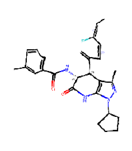 C=C(/C=C\C(F)=C/C)[C@H]1c2c(C)nn(C3CCCC3)c2NC(=O)[C@@H]1NC(=O)c1cccc(C)c1